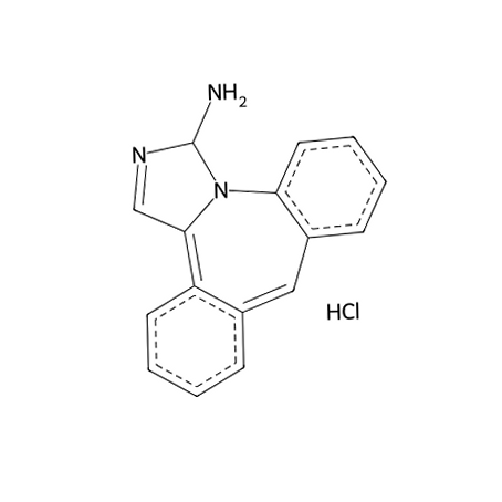 Cl.NC1N=CC2=c3ccccc3=Cc3ccccc3N21